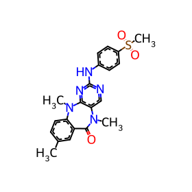 Cc1ccc2c(c1)C(=O)N(C)c1cnc(Nc3ccc(S(C)(=O)=O)cc3)nc1N2C